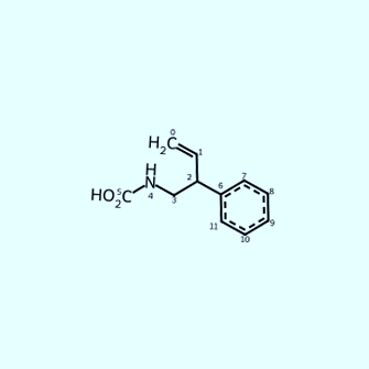 C=CC(CNC(=O)O)c1ccccc1